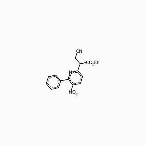 CCOC(=O)C(CC#N)c1ccc([N+](=O)[O-])c(-c2ccccc2)n1